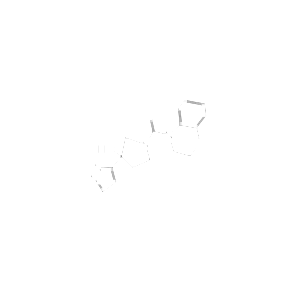 O=C(N1CCC(O)(c2ccn[nH]2)C1)N1CCOc2ccccc21